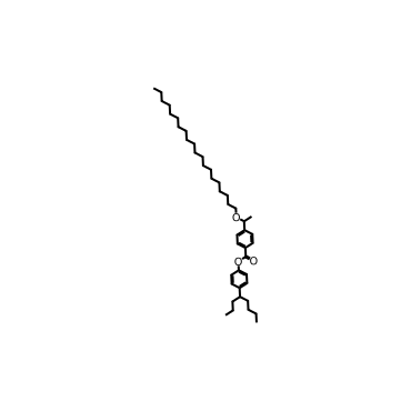 CCCCCCCCCCCCCCCCCCCCOC(C)c1ccc(C(=O)Oc2ccc(C(CCC)CCCC)cc2)cc1